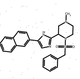 CN1CCN(S(=O)(=O)Cc2ccccc2)C(c2ncc(-c3ccc4ccccc4c3)[nH]2)C1